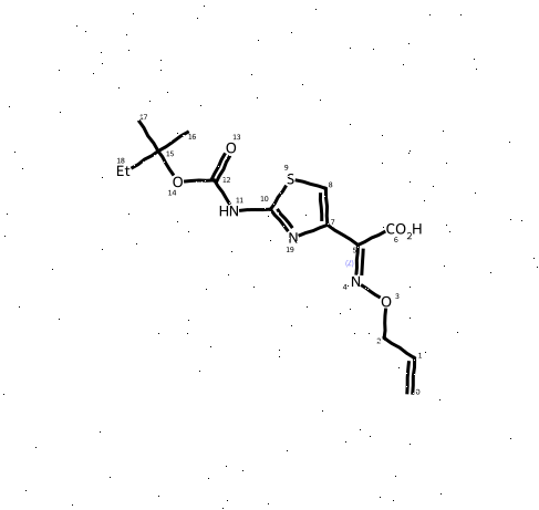 C=CCO/N=C(\C(=O)O)c1csc(NC(=O)OC(C)(C)CC)n1